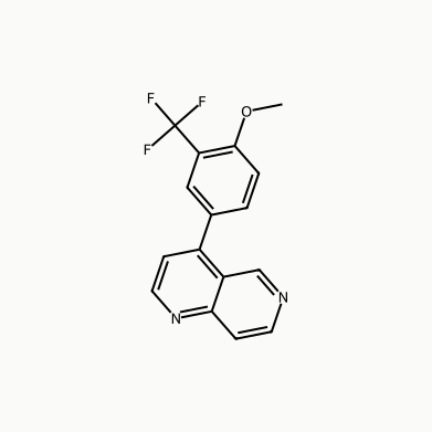 COc1ccc(-c2ccnc3ccncc23)cc1C(F)(F)F